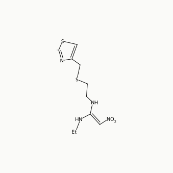 CCN/C(=C/[N+](=O)[O-])NCCSCc1cs[c]n1